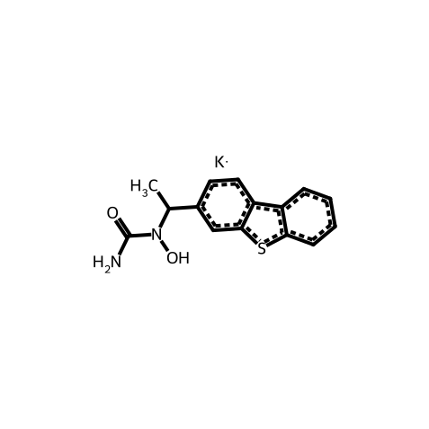 CC(c1ccc2c(c1)sc1ccccc12)N(O)C(N)=O.[K]